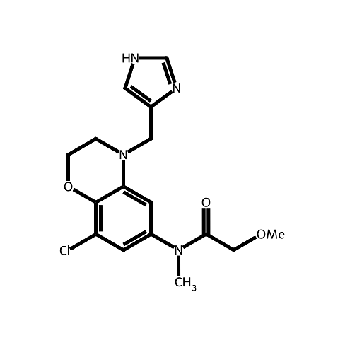 COCC(=O)N(C)c1cc(Cl)c2c(c1)N(Cc1c[nH]cn1)CCO2